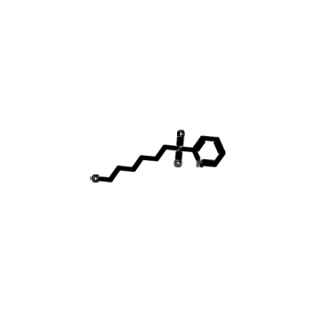 [O]CCCCCCS(=O)(=O)c1ccccn1